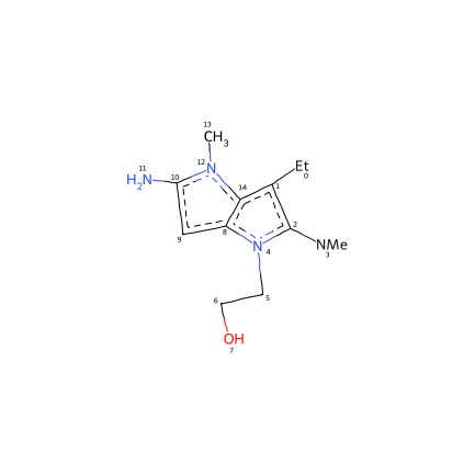 CCc1c(NC)n(CCO)c2cc(N)n(C)c12